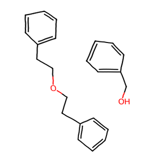 OCc1ccccc1.c1ccc(CCOCCc2ccccc2)cc1